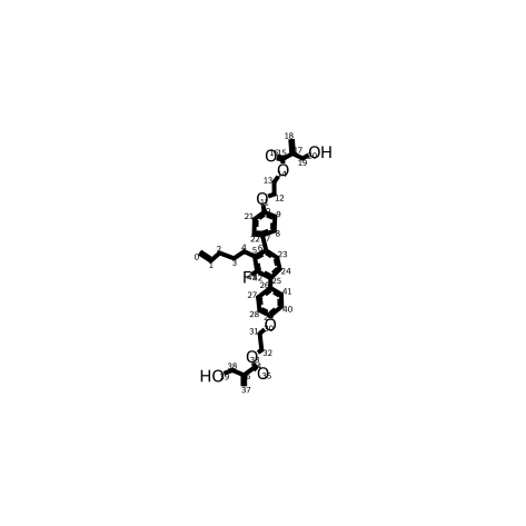 C=CCCCc1c(-c2ccc(OCCOC(=O)C(=C)CO)cc2)ccc(-c2ccc(OCCOC(=O)C(=C)CO)cc2)c1F